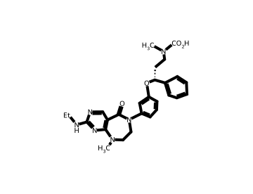 CCNc1ncc2c(n1)N(C)CCN(c1cccc(O[C@H](CCN(C)C(=O)O)c3ccccc3)c1)C2=O